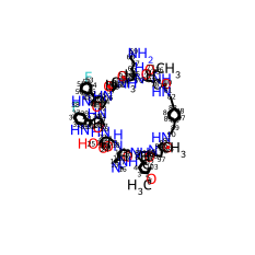 COc1ccc(C[C@@H]2NC(=O)[C@H](Cc3cnc[nH]3)NC(=O)[C@H](CC(=O)O)NC(=O)[C@H](Cc3c[nH]c4ccc(F)cc34)NC(=O)[C@H](Cc3c[nH]c4ccc(F)cc34)NC(=O)[C@@H](C)NC(=O)[C@H](CCCCN)NC(=O)[C@@H](NC(C)=O)CC(=O)NCc3ccc(cc3)CCNC(=O)[C@]3(C)CCCN3C2=O)cc1